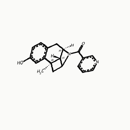 C[C@@]12CC3[C@H]1[C@@H](Cc1ccc(O)cc12)N3C(=O)c1cccnc1